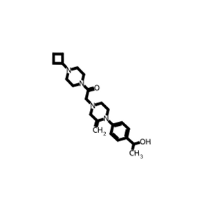 C=C1CN(CC(=O)N2CCN(C3CCC3)CC2)CCN1c1ccc(C(C)O)cc1